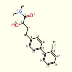 CN(C)C(=O)C(O)CCc1ccc(-c2ccccc2Cl)cc1